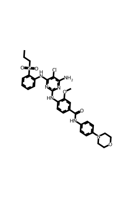 CCCS(=O)(=O)c1ccccc1Nc1nc(Nc2ccc(C(=O)Nc3ccc(N4CCOCC4)cc3)cc2OC)nc(N)c1Cl